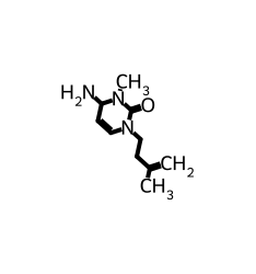 C=C(C)CCN1C=CC(N)N(C)C1=O